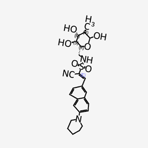 C[C@H]1C(O)O[C@H](CNS(=O)(=O)/C(C#N)=C/c2ccc3cc(N4CCCCC4)ccc3c2)[C@@H](O)[C@@H]1O